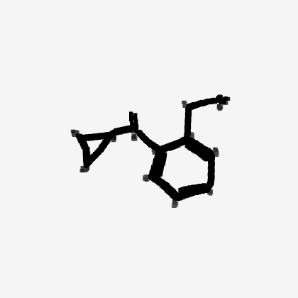 CC(=O)Cc1ccccc1NC1CC1